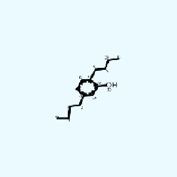 CCCCc1ccc(CCCC)c(O)c1